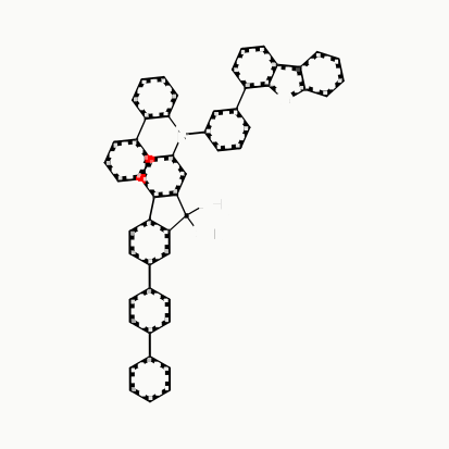 CC1(C)c2cc(-c3ccc(-c4ccccc4)cc3)ccc2-c2ccc(N(c3cccc(-c4cccc5c4oc4ccccc45)c3)c3ccccc3-c3ccccc3)cc21